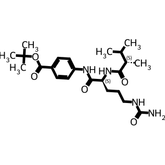 CC(C)[C@H](C)C(=O)N[C@@H](CCCNC(N)=O)C(=O)Nc1ccc(C(=O)OC(C)(C)C)cc1